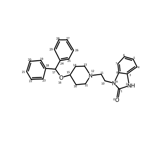 O=c1[nH]c2ccccc2n1CCN1CCC(OC(c2ccccc2)c2ccccc2)CC1